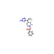 C=C(c1c[nH]cn1)C1CCN(OC(=O)c2ccccc2)CC1